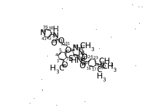 COc1ccccc1Sc1c(NS(=O)(=O)c2ccc(C(C)(C)C)cc2)nc(C)nc1OCCOC(=O)Nc1ccncc1